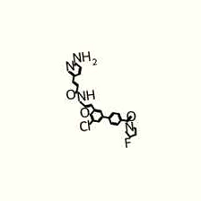 Nc1ccc(/C=C/C(=O)NCc2cc3cc(-c4ccc(C(=O)N5CC[C@@H](F)C5)cc4)cc(Cl)c3o2)cn1